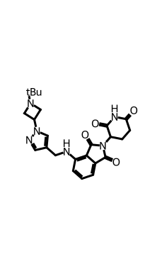 CC(C)(C)N1CC(n2cc(CNc3cccc4c3C(=O)N(C3CCC(=O)NC3=O)C4=O)cn2)C1